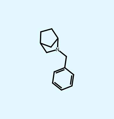 c1ccc(CN2CC3CCC2C3)cc1